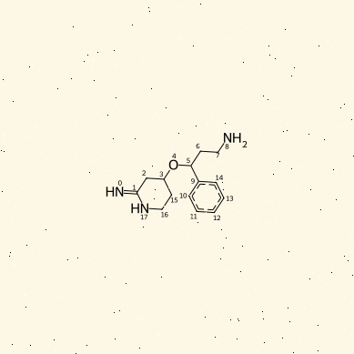 N=C1CC(OC(CCN)c2ccccc2)CCN1